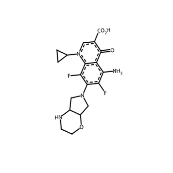 Nc1c(F)c(N2CC3NCCOC3C2)c(F)c2c1c(=O)c(C(=O)O)cn2C1CC1